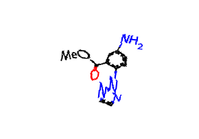 COC(=O)c1cc(N)ccc1-n1nccn1